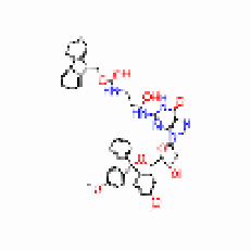 COc1ccc(C(OCC2O[C@@H](n3cnc4c(=O)[nH]c(NC(O)CCNC(O)OCC5c6ccccc6-c6ccccc65)nc43)CC2O)(c2ccccc2)c2ccc(OC)cc2)cc1